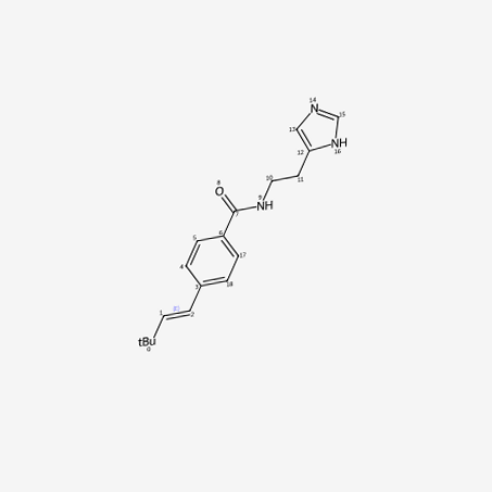 CC(C)(C)/C=C/c1ccc(C(=O)NCCc2cnc[nH]2)cc1